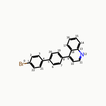 Brc1ccc(-c2ccc(-c3ccnc4ccccc34)cc2)cc1